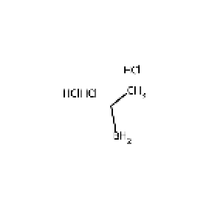 BCC.Cl.Cl.Cl